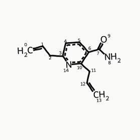 C=CCc1ccc(C(N)=O)c(CC=C)n1